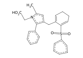 Cc1cc(CC2=CCCC=C2S(=O)(=O)c2ccccc2)c(-c2ccccc2)n1CC(=O)O